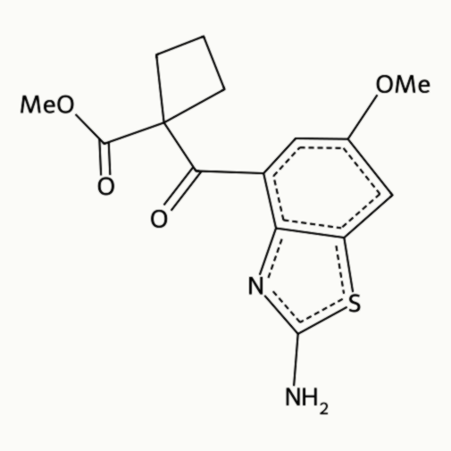 COC(=O)C1(C(=O)c2cc(OC)cc3sc(N)nc23)CCC1